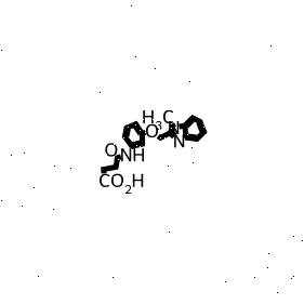 Cn1c(COc2cccc(NC(=O)CCC(=O)O)c2)nc2ccccc21